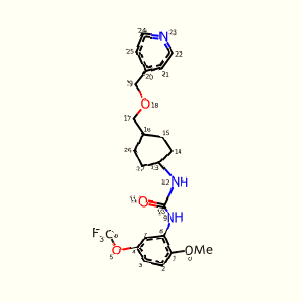 COc1ccc(OC(F)(F)F)cc1NC(=O)NC1CCC(COCc2ccncc2)CC1